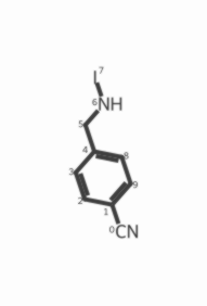 N#Cc1ccc(CNI)cc1